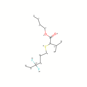 CCCCOC(=O)C(SCCCC(F)(F)CC)C(C)C